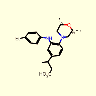 CCc1ccc(Nc2cc(C(C)CC(=O)O)ccc2N2C[C@@H](C)O[C@@H](C)C2)cc1